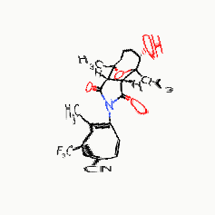 Cc1c(N2C(=O)[C@@H]3[C@H](C2=O)C2(C)C[C@H](O)C3(C)O2)ccc(C#N)c1C(F)(F)F